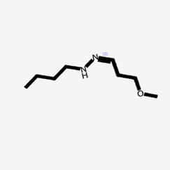 CCCCN/N=C\CCOC